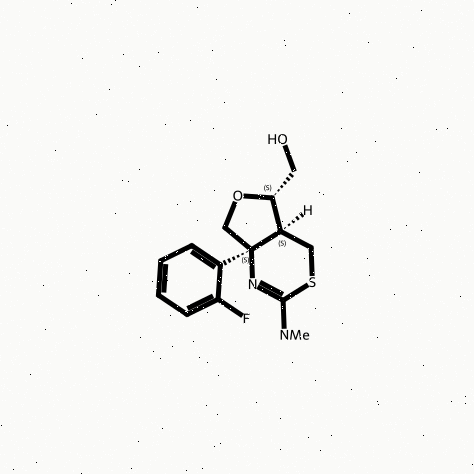 CNC1=N[C@@]2(c3ccccc3F)CO[C@H](CO)[C@H]2CS1